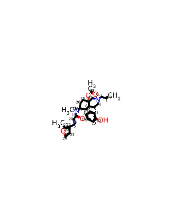 C=CCN1CC[C@@]2(c3cccc(O)c3)C[C@H](N(C)C(=O)/C=C/c3ccoc3C)CC[C@]2(OC(C)=O)C1